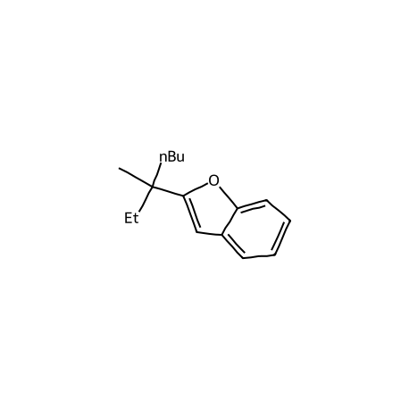 CCCCC(C)(CC)c1cc2ccccc2o1